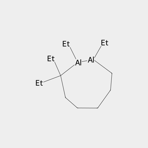 C[CH2][Al]1[CH2]CCCC[C](CC)(CC)[Al]1[CH2]C